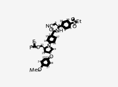 CCS(=O)(=O)c1ccc([C@H](CC#N)NC(=O)c2ccc(N3C[C@H](Oc4ccc(OC)cc4)C[C@H]3COC(F)F)cc2)cc1